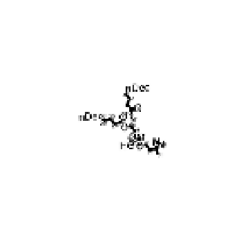 CCCCCCCCCCCCCC(=O)OC[C@H](COP(=O)(O)OCCC1(C)N=N1)OC(=O)CCCCCCCCCCCCC